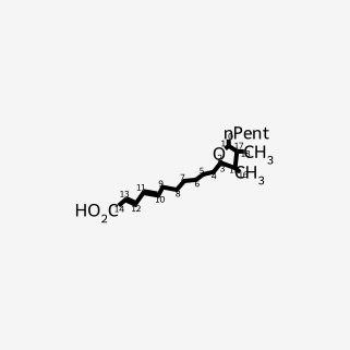 CCCCCC1OC(CCCCCCC=CC=CC(=O)O)C(C)C1C